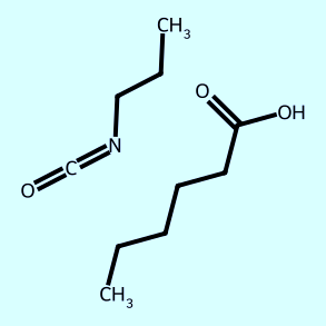 CCCCCC(=O)O.CCCN=C=O